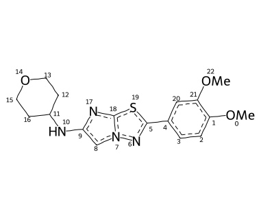 COc1ccc(-c2nn3cc(NC4CCOCC4)nc3s2)cc1OC